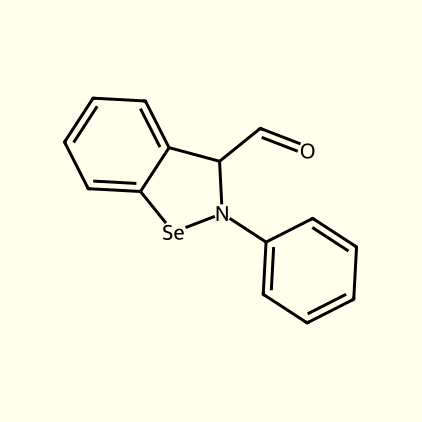 O=CC1c2ccccc2[Se]N1c1ccccc1